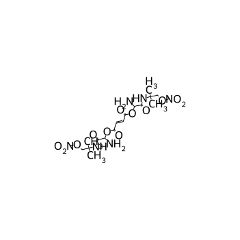 CC(C)(CO[N+](=O)[O-])NC(=O)C(N)OC(=O)/C=C/C(=O)OC(N)C(=O)NC(C)(C)CO[N+](=O)[O-]